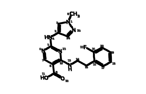 Cn1cc(Nc2ncc(C(=O)O)c(NCCc3ccccc3F)n2)cn1